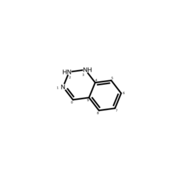 C1=NNNc2ccccc21